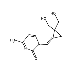 Nc1ccn(/C=C2/CC2(CO)CO)c(=O)n1